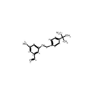 CC(C)(C)c1ccc(COc2cc(O)cc(C=O)c2)cc1